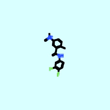 C=C(Nc1ccc(F)c(F)c1)c1cc([N+](=C)C)ccc1C